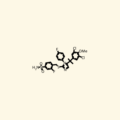 COc1c(Cl)cc(C(C)(C)c2cnc(SCc3ccc(S(N)(=O)=O)cc3F)n2-c2ccc(F)cc2)cc1Cl